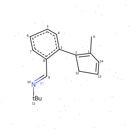 CC1=C(c2ccccc2/C=N/C(C)(C)C)CC=C1